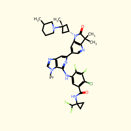 CC1CCCN([C@]2(C)C[C@H](N3C(=O)C(C)(C)c4ncc(-c5cc6ncn(C(C)C)c6c(Nc6cc(C(=O)NC7(C(F)F)CC7)c(Cl)c(F)c6F)n5)cc43)C2)C1